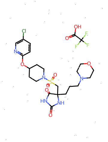 O=C(O)C(F)(F)F.O=C1NC(=O)C(CCCN2CCOCC2)(CS(=O)(=O)N2CCC(Oc3ccc(Cl)cn3)CC2)N1